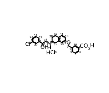 Cl.O=C(O)c1cccc(COc2ccc3c(c2)C[C@@H](NC[C@@H](O)c2cccc(Cl)c2)CC3)c1